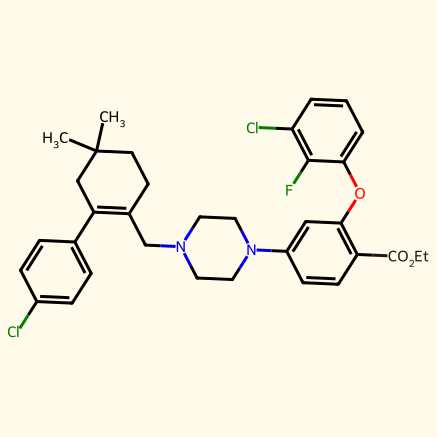 CCOC(=O)c1ccc(N2CCN(CC3=C(c4ccc(Cl)cc4)CC(C)(C)CC3)CC2)cc1Oc1cccc(Cl)c1F